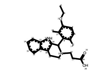 CCOc1ccc(F)c(C2c3[nH]c4ccccc4c3CCN2CCC(=O)O)c1C